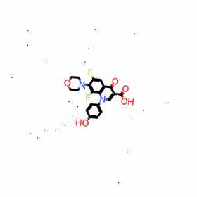 O=C(O)c1cn(-c2ccc(O)cc2)c2c(F)c(N3CCOCC3)c(F)cc2c1=O